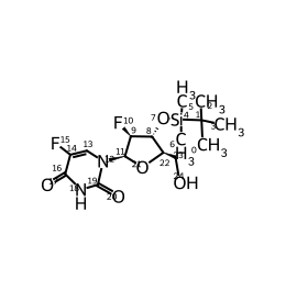 CC(C)(C)[Si](C)(C)O[C@H]1[C@H](F)[C@H](n2cc(F)c(=O)[nH]c2=O)O[C@@H]1CO